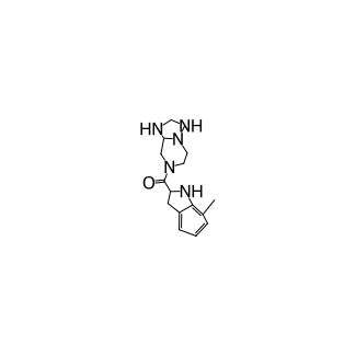 Cc1cccc2c1NC(C(=O)N1CCN3NCNC3C1)C2